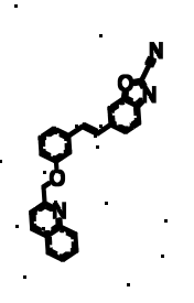 N#Cc1nc2ccc(C=Cc3cccc(OCc4ccc5ccccc5n4)c3)cc2o1